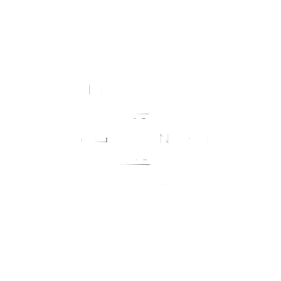 CCc1cc(=O)c(O)cn1C